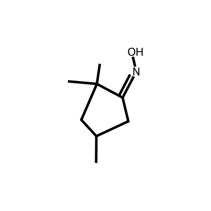 CC1C/C(=N/O)C(C)(C)C1